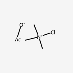 CC(=O)[O-].C[N+](C)(C)Cl